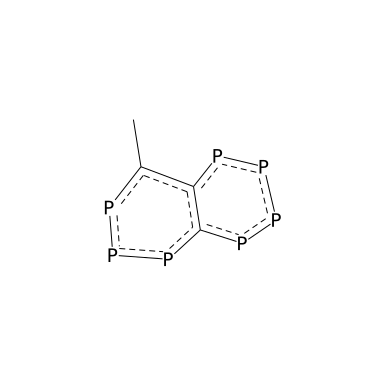 Cc1pppc2ppppc12